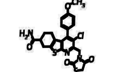 COc1ccc(-c2c(Cl)c(CN3C(=O)CSC3=O)nc3sc4c(c23)CCC(C(N)=O)C4)cc1